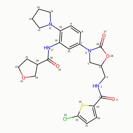 O=C(NCC1CN(c2ccc(N3CCCC3)c(NC(=O)C3CCOC3)c2)C(=O)O1)c1ccc(Cl)s1